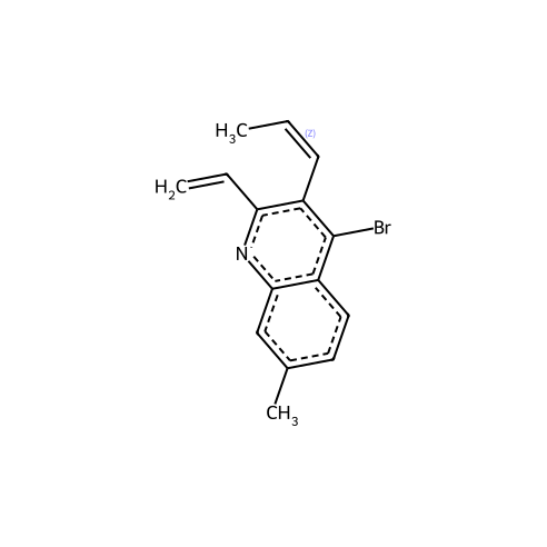 C=Cc1nc2cc(C)ccc2c(Br)c1/C=C\C